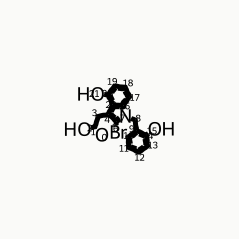 O=C(O)Cc1c(Br)n(Cc2ccccc2O)c2cccc(O)c12